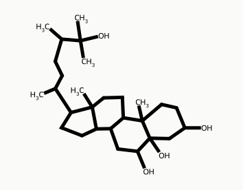 CC(CCC(C)C(C)(C)O)C1CCC2C3CC(O)C4(O)CC(O)CCC4(C)C3CCC12C